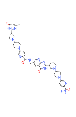 CNC(=O)c1ccc(N2CCC(N3CCCC(c4nc5ncc(CNC(=O)c6ccc(N7CCC(N8CCC(c9nc(C)cc(=O)[nH]9)C8)CC7)cn6)cc5c(=O)[nH]4)C3)CC2)cn1